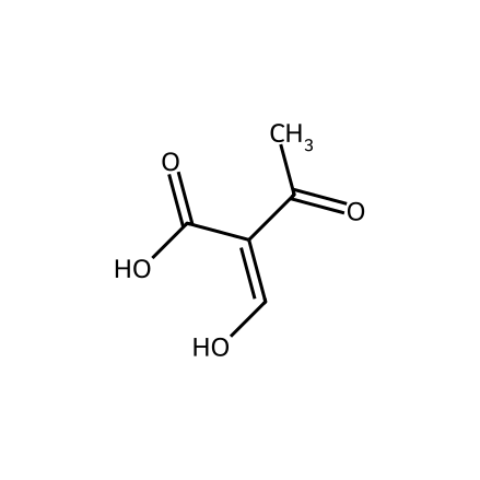 CC(=O)C(=CO)C(=O)O